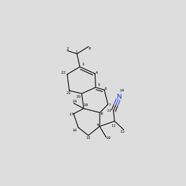 CC(C)C1=CC2=CCC3C(C)(C(C)C#N)CCCC3(C)C2CC1